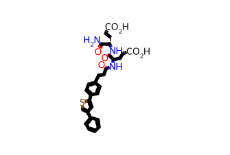 NC(=O)[C@H](CCC(=O)O)NC(=O)C(CCC(=O)O)NC(=O)CCc1ccc(-c2cc(-c3ccccc3)cs2)cc1